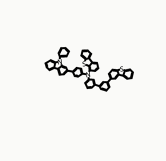 c1ccc(-n2c3ccccc3c3ccc(-c4ccc(N(c5cccc(-c6cccc(-c7ccc8sc9ccccc9c8c7)c6)c5)c5cccc6c5sc5ccccc56)cc4)cc32)cc1